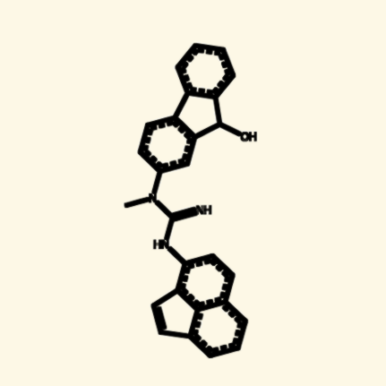 CN(C(=N)Nc1ccc2cccc3c2c1C=C3)c1ccc2c(c1)C(O)c1ccccc1-2